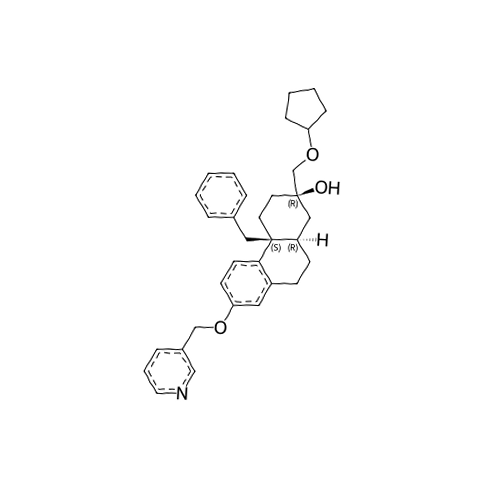 O[C@]1(COC2CCCC2)CC[C@@]2(Cc3ccccc3)c3ccc(OCc4cccnc4)cc3CC[C@@H]2C1